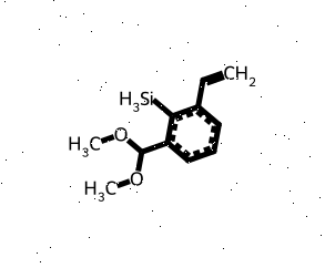 C=Cc1cccc(C(OC)OC)c1[SiH3]